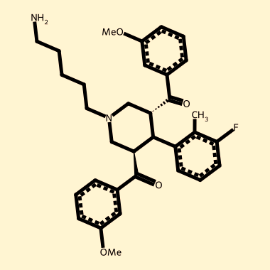 COc1cccc(C(=O)[C@H]2CN(CCCCCN)C[C@H](C(=O)c3cccc(OC)c3)C2c2cccc(F)c2C)c1